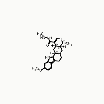 CNNC(=O)C1=CO[C@@H](C)[C@H]2CN3CCc4c([nH]c5cc(OC)ccc45)[C@@H]3C[C@H]12